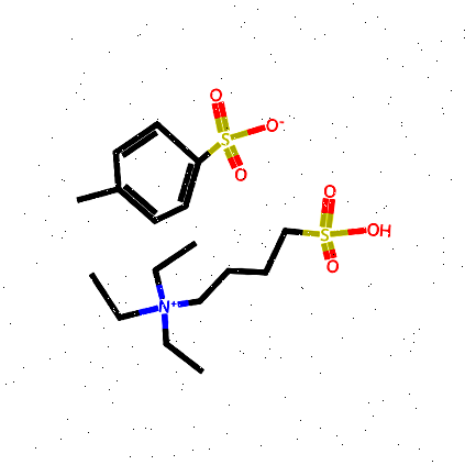 CC[N+](CC)(CC)CCCCS(=O)(=O)O.Cc1ccc(S(=O)(=O)[O-])cc1